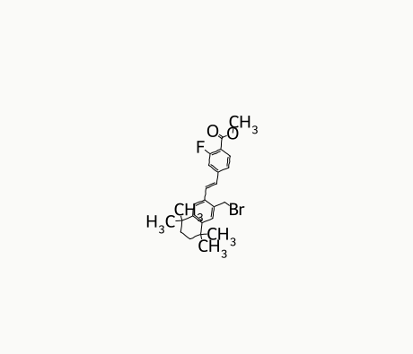 COC(=O)c1ccc(/C=C/c2cc3c(cc2CBr)C(C)(C)CCC3(C)C)cc1F